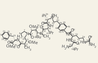 CC[C@H](C)[C@@H]([C@@H](CC(=O)N1CCC[C@H]1[C@H](OC)[C@@H](C)C(=O)N[C@@H](Cc1ccccc1)C(=O)OC)OC)N(C)C(=O)[C@@H](NC(=O)[C@H](C(C)C)N(C)CCc1ccc(NC(=O)C(CCCNC(N)=O)NC(=O)[C@@H](N)C(C)C)cc1)C(C)C